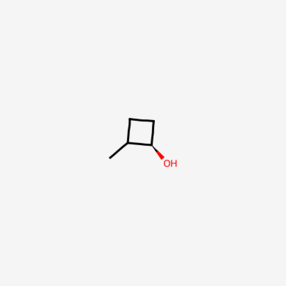 CC1CC[C@H]1O